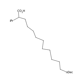 CCCCCCCCCCCCCCCCCCCCC(C(=O)O)C(C)C